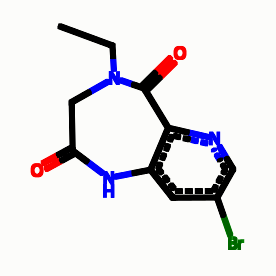 CCN1CC(=O)Nc2cc(Br)cnc2C1=O